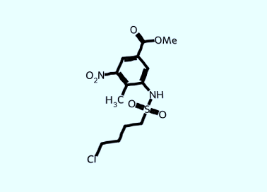 COC(=O)c1cc(NS(=O)(=O)CCCCCl)c(C)c([N+](=O)[O-])c1